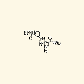 CCNC(=O)c1cccc(-c2cnc3[nH]cc(C(=O)C(C)(C)C)c3n2)c1